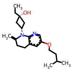 C=C1CCc2cc(OCCC(C)C)cnc2N1[C@H]1C[C@](O)(CC)C1